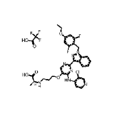 CCOc1cc(F)c(Cn2nc(-c3ncc(OCCCN[C@@H](C)C(=O)O)c(Nc4ccncc4Cl)n3)c3ccccc32)c(F)c1.O=C(O)C(F)(F)F